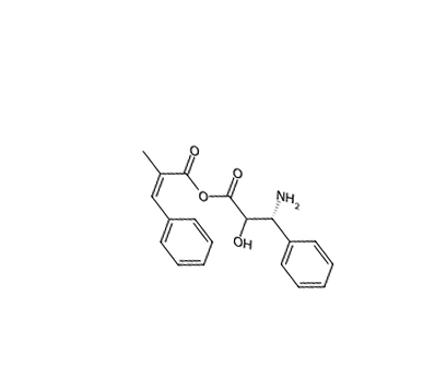 CC(=Cc1ccccc1)C(=O)OC(=O)C(O)[C@H](N)c1ccccc1